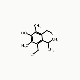 Cc1c(O)c(C)c(CCl)c(C(C)C)c1CCl